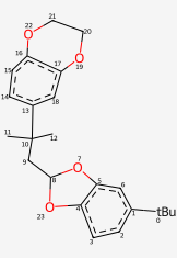 CC(C)(C)c1ccc2c(c1)OC(CC(C)(C)c1ccc3c(c1)OCCO3)O2